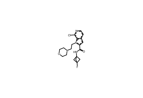 O=C(NC12CC(F)(C1)C2)c1cc2ccnc(Cl)c2n1CCN1CCOCC1